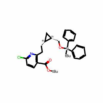 CC(C)(C)OC(=O)c1ccc(Cl)nc1CC[C@@H]1C[C@@H]1CO[Si](c1ccccc1)(c1ccccc1)C(C)(C)C